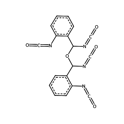 O=C=Nc1ccccc1C(N=C=O)OC(N=C=O)c1ccccc1N=C=O